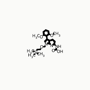 COc1cccc(OC)c1-c1cn(COCC[Si](C)(C)C)c2nc(NC(=O)O)ccc12